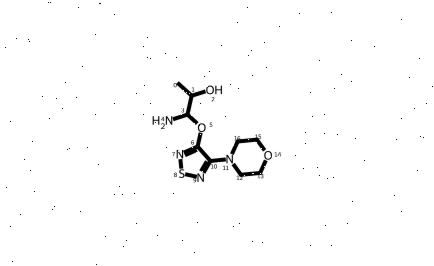 CC(O)C(N)Oc1nsnc1N1CCOCC1